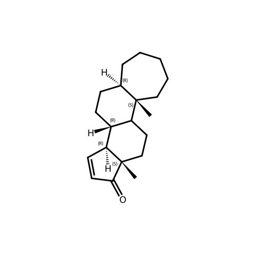 C[C@]12CCC3[C@@H](CC[C@H]4CCCCC[C@]34C)[C@@H]1C=CC2=O